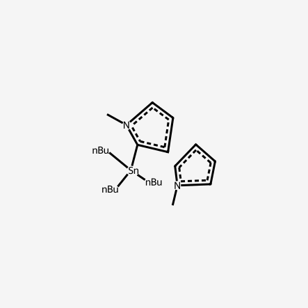 CCC[CH2][Sn]([CH2]CCC)([CH2]CCC)[c]1cccn1C.Cn1cccc1